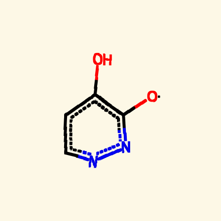 [O]c1nnccc1O